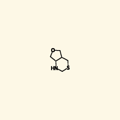 C1NC2COCC2CS1